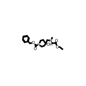 CCOC(=O)CN(C)CC1(O)CCN(C(=O)OCc2ccccc2)CC1